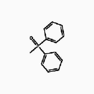 CP(=O)(c1ccccc1)c1ccccc1